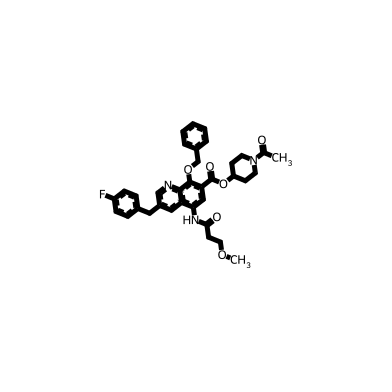 COCCC(=O)Nc1cc(C(=O)OC2CCN(C(C)=O)CC2)c(OCc2ccccc2)c2ncc(Cc3ccc(F)cc3)cc12